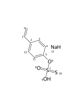 C=Cc1ccc(OS(=O)(O)=S)cc1.[NaH]